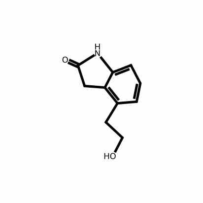 O=C1Cc2c(CCO)cccc2N1